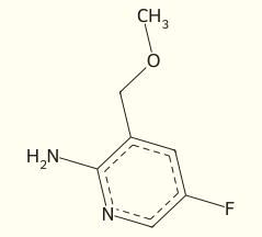 COCc1cc(F)cnc1N